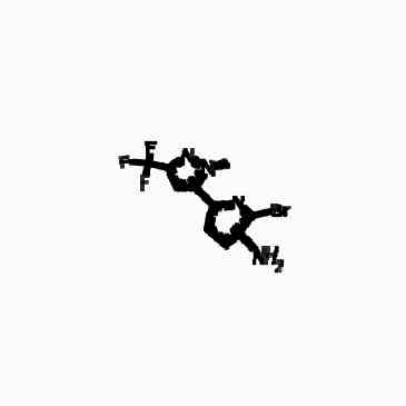 Cn1nc(C(F)(F)F)cc1-c1ccc(N)c(Br)n1